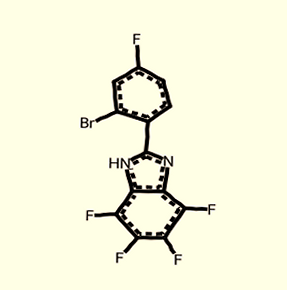 Fc1ccc(-c2nc3c(F)c(F)c(F)c(F)c3[nH]2)c(Br)c1